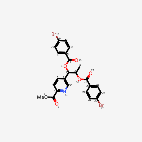 COC(=O)c1ccc(C(OC(=O)c2ccc(Br)cc2)C(C)OC(=O)c2ccc(Br)cc2)cn1